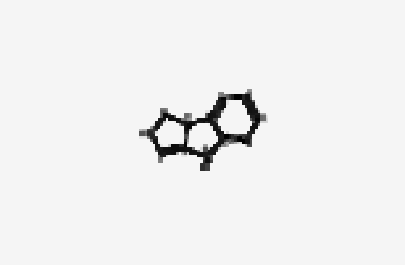 C1=C2Nc3ccccc3N2CS1